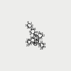 c1ccc(-c2ccc(N(c3ccccc3)c3cc4ccccc4c4oc(-c5ccccc5)nc34)cc2)cc1